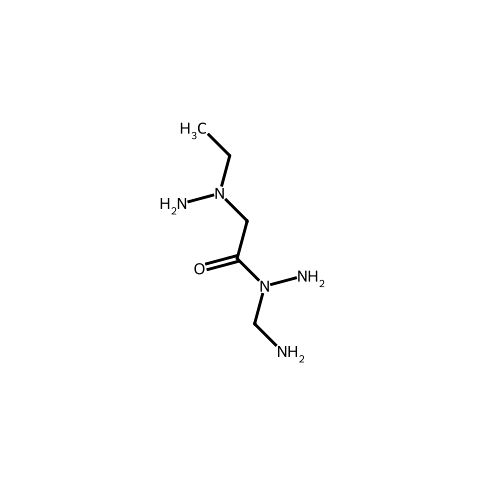 CCN(N)CC(=O)N(N)CN